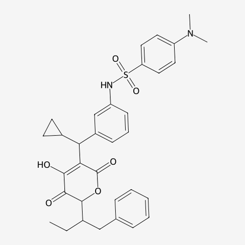 CCC(Cc1ccccc1)C1OC(=O)C(C(c2cccc(NS(=O)(=O)c3ccc(N(C)C)cc3)c2)C2CC2)=C(O)C1=O